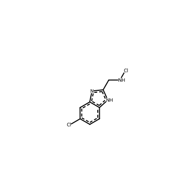 ClNCc1nc2cc(Cl)ccc2[nH]1